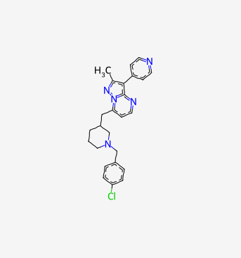 Cc1nn2c(CC3CCCN(Cc4ccc(Cl)cc4)C3)ccnc2c1-c1ccncc1